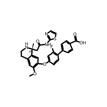 COc1cc2c(cc1Oc1ccc(-c3ccc(C(=O)O)cc3)c(F)c1)[C@@](C)(CC(=O)Nc1nccs1)NCC2